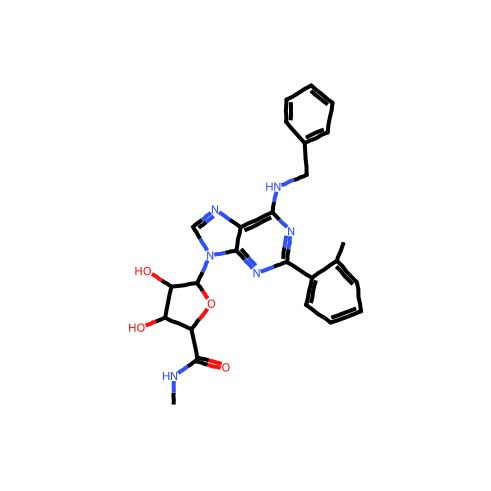 CNC(=O)C1OC(n2cnc3c(NCc4ccccc4)nc(-c4ccccc4C)nc32)C(O)C1O